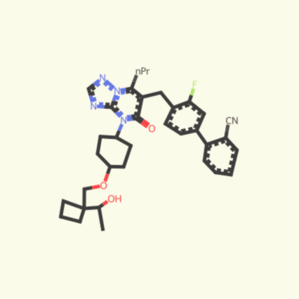 CCCc1c(Cc2ccc(-c3ccccc3C#N)cc2F)c(=O)n(C2CCC(OCC3(C(C)O)CCC3)CC2)c2ncnn12